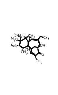 CC(=O)O[C@@H]1[C@@H](C)[C@@H]2[C@@H]3C=C(C)C(=O)[C@@](O)(C/C(CO)=C\[C@H]2C(C)(C)[C@]1(C)OC(C)=O)C3